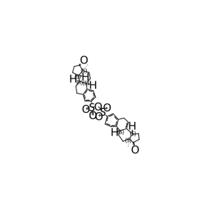 C[C@]12CC[C@H]3C(=CCc4cc(S(=O)(=O)OS(=O)(=O)c5ccc6c(c5)CC[C@@H]5[C@@H]6CC[C@]6(C)C(=O)CC[C@@H]56)ccc43)[C@@H]1CCC2=O